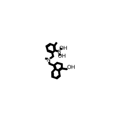 Cc1cccc(CN(C)CC2=c3ccccc3=C(CO)CC2)c1B(O)O